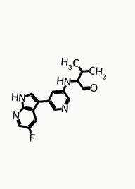 CC(C)C(C=O)Nc1cncc(-c2c[nH]c3ncc(F)cc23)c1